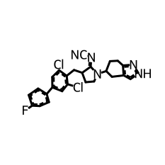 N#CN=C1C(Cc2c(Cl)cc(-c3ccc(F)cc3)cc2Cl)CCN1C1CCc2n[nH]cc2C1